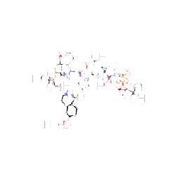 CC[C@@H]1C[C@]1(NC(=O)[C@@H]1C[C@@H](Oc2nccc3cc(OC)ccc23)CN1C(=O)[C@@H](NC(=O)OC(C)(C)C)C1CCOCC1)C(=O)NS(=O)(=O)OC1(C(C)C)CC1